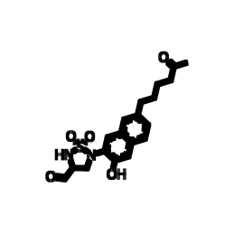 CC(=O)CCCCc1ccc2cc(O)c(N3CC(C=O)NS3(=O)=O)cc2c1